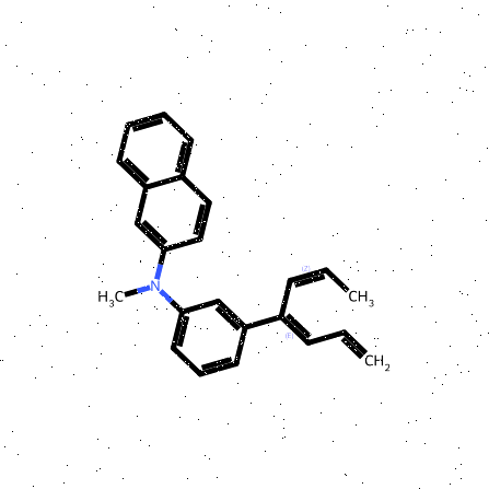 C=C/C=C(\C=C/C)c1cccc(N(C)c2ccc3ccccc3c2)c1